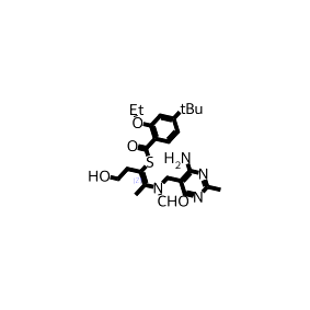 CCOc1cc(C(C)(C)C)ccc1C(=O)S/C(CCO)=C(/C)N(C=O)Cc1cnc(C)nc1N